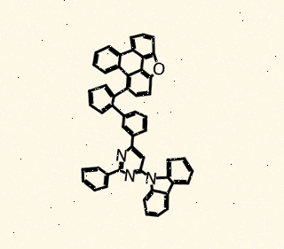 c1ccc(-c2nc(-c3cccc(-c4ccccc4-c4ccc5oc6cccc7c8ccccc8c4c5c67)c3)cc(-n3c4ccccc4c4ccccc43)n2)cc1